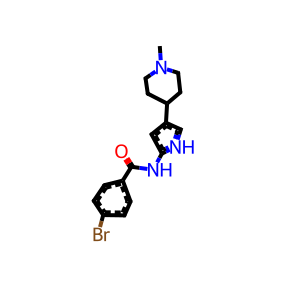 CN1CCC(c2c[nH]c(NC(=O)c3ccc(Br)cc3)c2)CC1